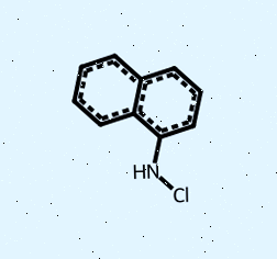 ClNc1cccc2ccccc12